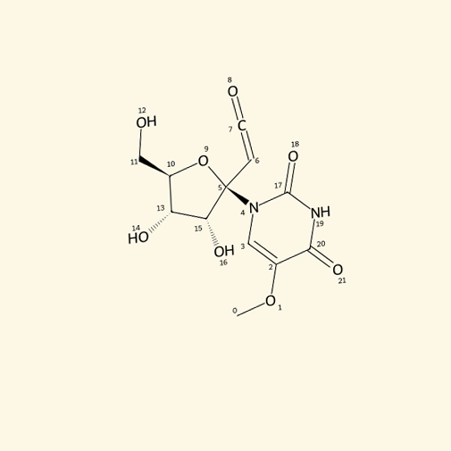 COc1cn([C@]2(C=C=O)O[C@H](CO)[C@@H](O)[C@H]2O)c(=O)[nH]c1=O